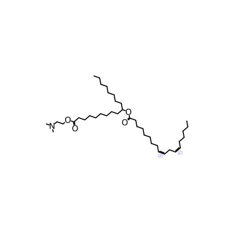 CCCCC/C=C\C/C=C\CCCCCCCC(=O)OC(CCCCCCCC)CCCCCCCCC(=O)OCCN(C)C